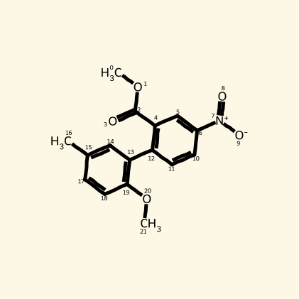 COC(=O)c1cc([N+](=O)[O-])ccc1-c1cc(C)ccc1OC